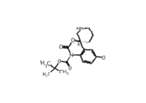 CC(C)(C)OC(=O)N1C(=O)O[C@]2(CCCNC2)c2cc(Cl)ccc21